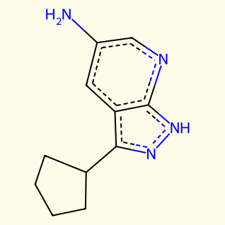 Nc1cnc2[nH]nc(C3CCCC3)c2c1